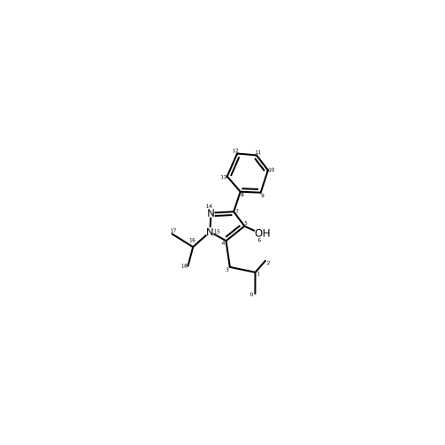 CC(C)Cc1c(O)c(-c2ccccc2)nn1C(C)C